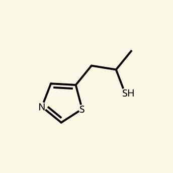 CC(S)Cc1cncs1